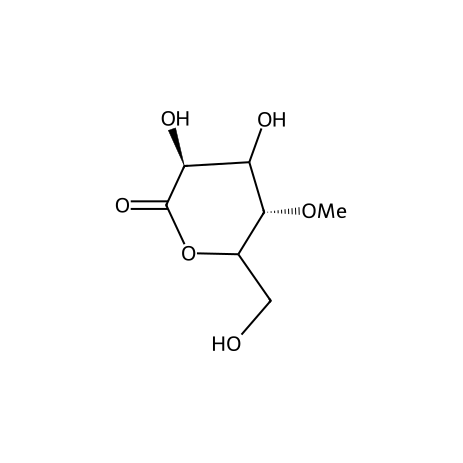 CO[C@@H]1C(CO)OC(=O)[C@@H](O)C1O